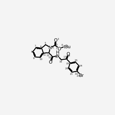 CC(C)(C)OC(=O)N1Cc2ccccc2C1C(=O)NCC(=O)c1ccc(Br)cc1